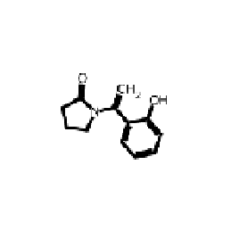 C=C(c1ccccc1O)N1CCCC1=O